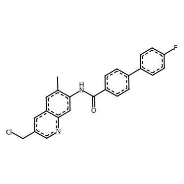 Cc1cc2cc(CCl)cnc2cc1NC(=O)c1ccc(-c2ccc(F)cc2)cc1